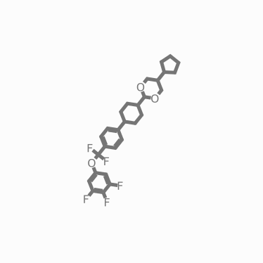 Fc1cc(OC(F)(F)c2ccc(C3CCC(C4OCC(C5CCCC5)CO4)CC3)cc2)cc(F)c1F